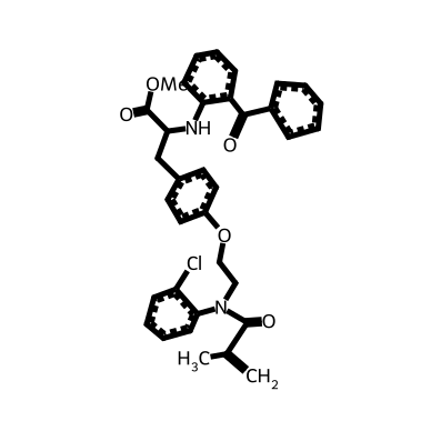 C=C(C)C(=O)N(CCOc1ccc(CC(Nc2ccccc2C(=O)c2ccccc2)C(=O)OC)cc1)c1ccccc1Cl